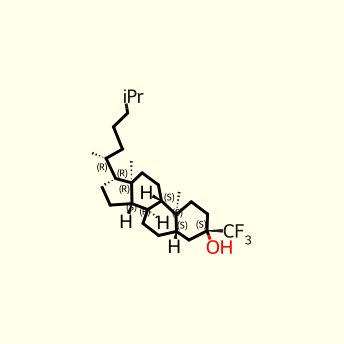 CC(C)CCC[C@@H](C)[C@H]1CC[C@H]2[C@@H]3CC[C@H]4C[C@](O)(C(F)(F)F)CC[C@]4(C)[C@H]3CC[C@]12C